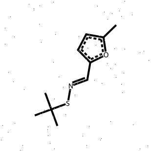 Cc1ccc(C=NSC(C)(C)C)o1